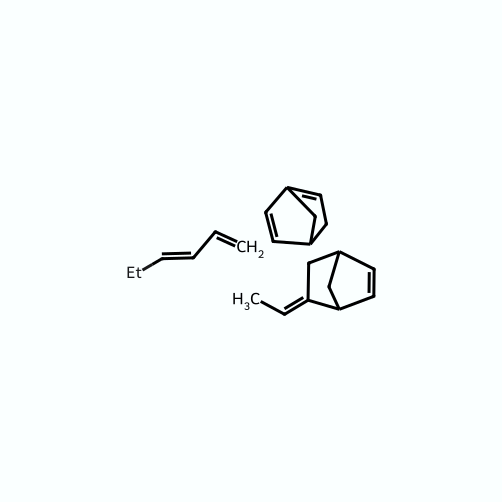 C1=CC2CC=C1C2.C=CC=CCC.CC=C1CC2C=CC1C2